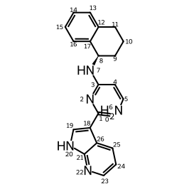 C=C(/N=C(\C=C/N)N[C@@H]1CCCc2ccccc21)c1c[nH]c2ncccc12